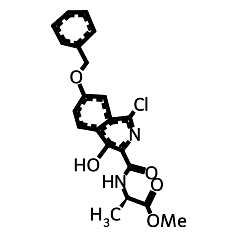 COC(=O)[C@@H](C)NC(=O)c1nc(Cl)c2cc(OCc3ccccc3)ccc2c1O